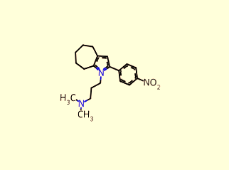 CN(C)CCCn1c(-c2ccc([N+](=O)[O-])cc2)cc2c1CCCCC2